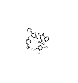 Cc1cc(S(=O)(=O)N2c3ccccc3NC(=O)[C@H]2CC(=O)N[C@H](Cc2ccc(C#N)cc2)C(=O)N2CCCC2)c(C)cc1Cl